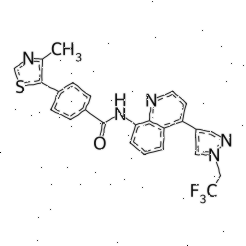 Cc1ncsc1-c1ccc(C(=O)Nc2cccc3c(-c4cnn(CC(F)(F)F)c4)ccnc23)cc1